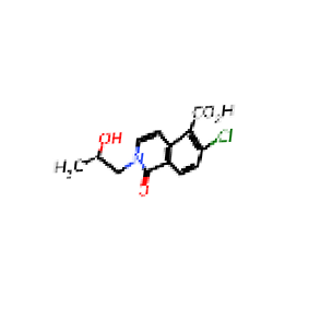 C[C@@H](O)Cn1ccc2c(C(=O)O)c(Cl)ccc2c1=O